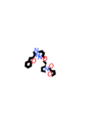 O=C(c1ccco1)N1CCC[C@H]1CCOc1ccc2ncc(-c3cc4ccccc4o3)n2n1